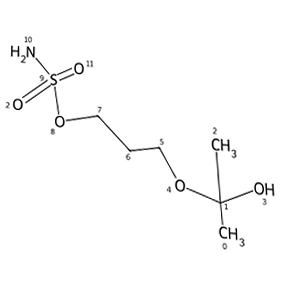 CC(C)(O)OCCCOS(N)(=O)=O